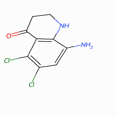 Nc1cc(Cl)c(Cl)c2c1NCCC2=O